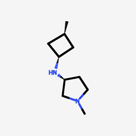 CN1CC[C@@H](N[C@H]2C[C@@H](C)C2)C1